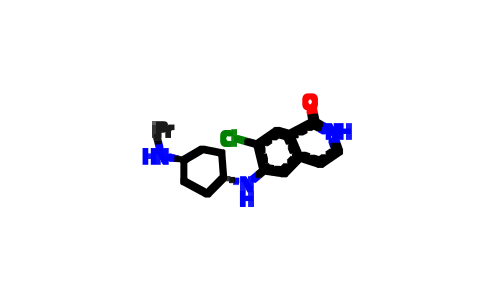 CC(C)N[C@H]1CC[C@H](Nc2cc3cc[nH]c(=O)c3cc2Cl)CC1